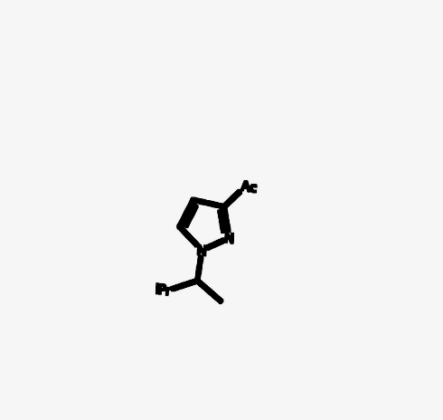 CC(=O)c1ccn(C(C)C(C)C)n1